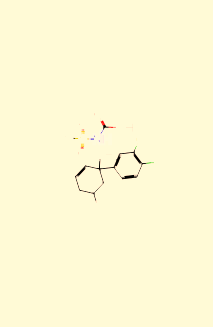 CC1CC=CC(C)(c2ccc(Cl)c(Cl)c2)C1.CS(=O)(=O)NC(=O)O